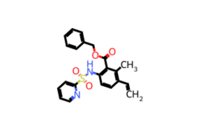 C=Cc1ccc(NS(=O)(=O)c2ccccn2)c(C(=O)OCc2ccccc2)c1C